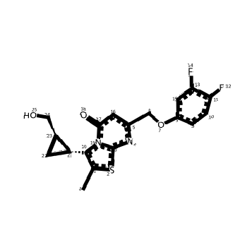 Cc1sc2nc(COc3ccc(F)c(F)c3)cc(=O)n2c1[C@@H]1C[C@H]1CO